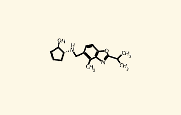 Cc1c(CN[C@@H]2CCC[C@H]2O)ccc2oc(C(C)C)nc12